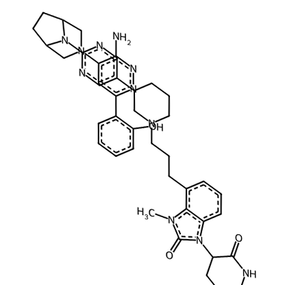 Cn1c(=O)n(C2CCC(=O)NC2=O)c2cccc(CCCN3CCCC(c4cnc(N5C6CCC5CN(c5cc(-c7ccccc7O)nnc5N)C6)nc4)C3)c21